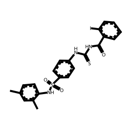 Cc1ccc(NS(=O)(=O)c2ccc(NC(=S)NC(=O)c3ccccc3I)cc2)c(C)c1